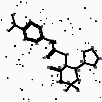 CC(C)c1ccc(NC(=O)CC2C(=O)OC(C)(C)CN2C2CCCC2)cc1